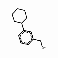 CC(C)Cc1cccc(C2CCCCC2)c1